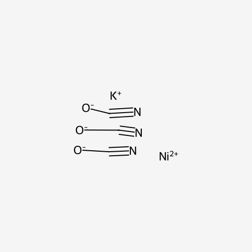 N#C[O-].N#C[O-].N#C[O-].[K+].[Ni+2]